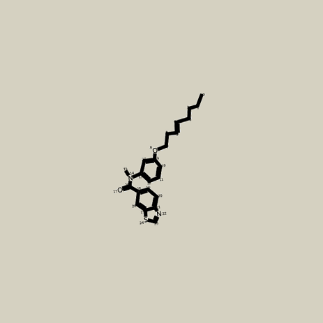 CCCCC=CCCOc1cccc(N(C)C(=O)c2ccc3ncsc3c2)c1